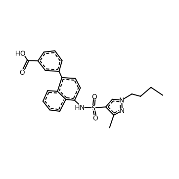 CCCCn1cc(S(=O)(=O)Nc2ccc(-c3cccc(C(=O)O)c3)c3ccccc23)c(C)n1